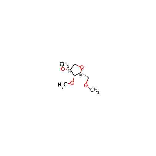 COC[C@H]1OC[C@@H](OC)C1OC